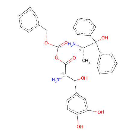 C[C@H](N)C(O)(c1ccccc1)c1ccccc1.N[C@H](C(=O)OC(=O)OCc1ccccc1)C(O)c1ccc(O)c(O)c1